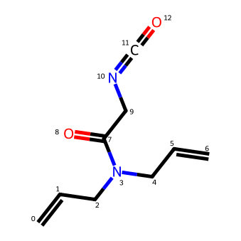 C=CCN(CC=C)C(=O)CN=C=O